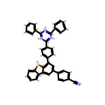 N#Cc1ccc(-c2cc(-c3ccc(-c4nc(-c5ccccc5)nc(-c5ccccc5)n4)cc3)c3sc4ccccc4c3c2)cc1